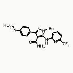 CC(C)(C)n1nc(-c2ccc(NC(=O)O)cc2)c(C(N)=O)c1Nc1cccc(C(F)(F)F)n1